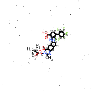 Cc1nc2cc3c(cc2c(=O)n1COC(=O)C(C)(C)C)C(Nc1c(C(=O)O)ccc(-c2c(F)c(F)c(F)c(F)c2F)c1F)CC3